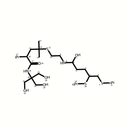 CCCSCC(CCC(O)NCCSC(C)(C)CC(C(=O)NC(CO)(CO)CO)C(C)C)SCCC